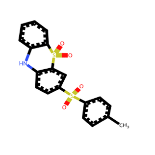 Cc1ccc(S(=O)(=O)c2ccc3c(c2)S(=O)(=O)c2ccccc2N3)cc1